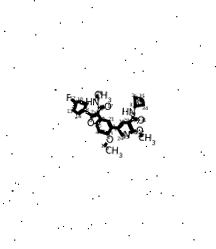 CCOc1cc2oc(-c3ccc(F)cc3)c(C(=O)NC)c2cc1-c1cnc(OC)c(C(=O)NC23CC(C2)C3)c1